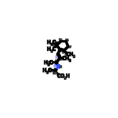 CC1=C(/C=C(C)/C(C)=N/[C@@H](C)C(=O)O)C(C)(C)CCC1